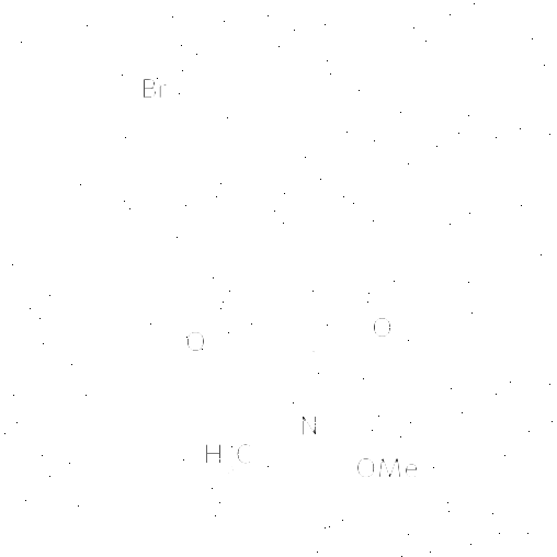 CON(C)C(=O)C1OCCc2c(Br)cccc21